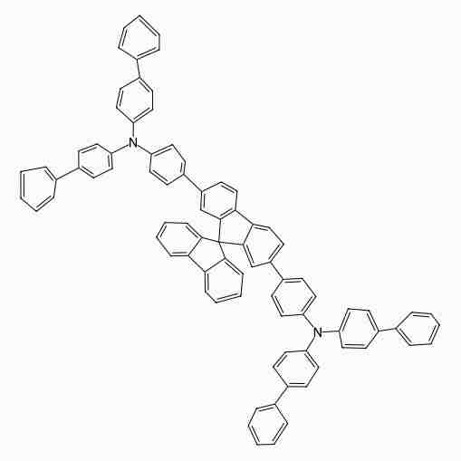 c1ccc(-c2ccc(N(c3ccc(-c4ccccc4)cc3)c3ccc(-c4ccc5c(c4)C4(c6ccccc6-c6ccccc64)c4cc(-c6ccc(N(c7ccc(-c8ccccc8)cc7)c7ccc(-c8ccccc8)cc7)cc6)ccc4-5)cc3)cc2)cc1